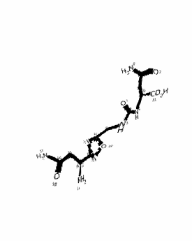 NC(=O)C[C@H](NC(=O)NCc1nc([C@@H](N)CC(N)=O)no1)C(=O)O